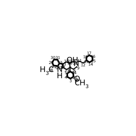 COc1cccc(C23CCN(CCc4ccccc4)CC2(O)Cc2c([nH]c4c(C)cccc24)C3)c1